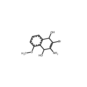 COc1cccc2c1C(O)C(N)=C(Br)C2O